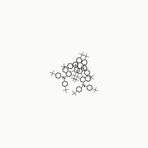 CC(C)(C)c1ccc(N(c2ccc(C(C)(C)C)cc2)c2cc3c(c4ccccc24)-c2c(cc(N(c4ccc(C(C)(C)C)cc4)c4ccc(C(C)(C)C)cc4)c4ccccc24)C3(C(C)(C)C)C2(C(C)(C)C)c3cc(N(c4ccc(C(C)(C)C)cc4)c4ccc(C(C)(C)C)cc4)c4ccccc4c3-c3c2cc(N(c2ccc(C(C)(C)C)cc2)c2ccc(C(C)(C)C)cc2)c2ccccc32)cc1